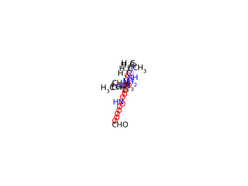 CC1=C(/C=C/C(C)=C/C=C/C(C)=C/C(=O)NCCCC[C@@H](C(=O)NCCCOCCOCCOCCCNC(=O)CCOCCOCCOCCOCCOCCC=O)N(N)C(=O)/C=C(C)/C=C/C=C(C)/C=C/C2=C(C)CCCC2(C)C)C(C)(C)CCC1